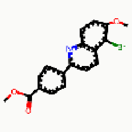 COC(=O)c1ccc(-c2ccc3c(Br)c(OC)ccc3n2)cc1